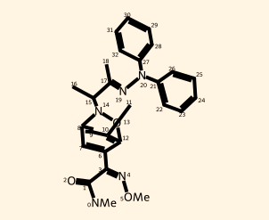 CNC(=O)C(=NOC)c1cc2cc(C)c1ON2C(C)C(C)=NN(c1ccccc1)c1ccccc1